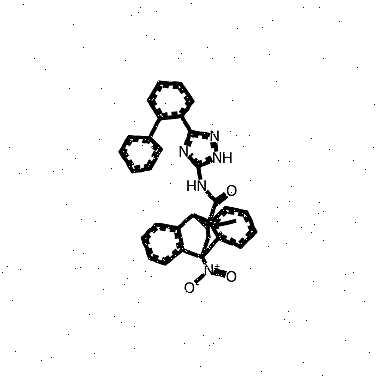 CC1(C(=O)Nc2nc(-c3ccccc3-c3ccccc3)n[nH]2)CC2([N+](=O)[O-])c3ccccc3C1c1ccccc12